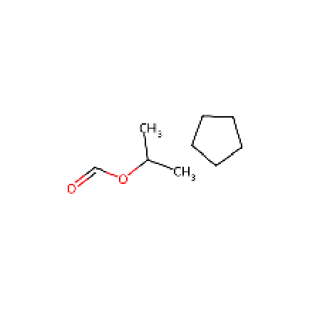 C1CCCC1.CC(C)OC=O